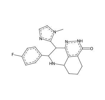 Cn1ccnc1C1c2n[nH]c(=O)c3c2C(CCC3)NC1c1ccc(F)cc1